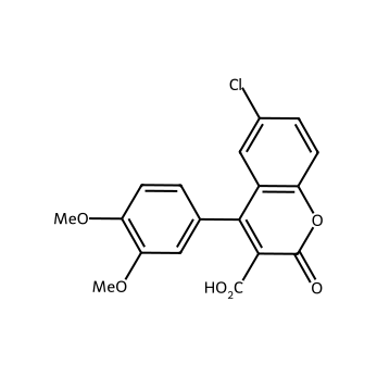 COc1ccc(-c2c(C(=O)O)c(=O)oc3ccc(Cl)cc23)cc1OC